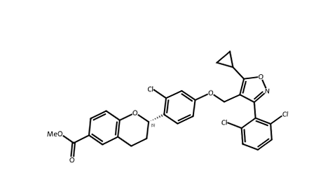 COC(=O)c1ccc2c(c1)CC[C@@H](c1ccc(OCc3c(-c4c(Cl)cccc4Cl)noc3C3CC3)cc1Cl)O2